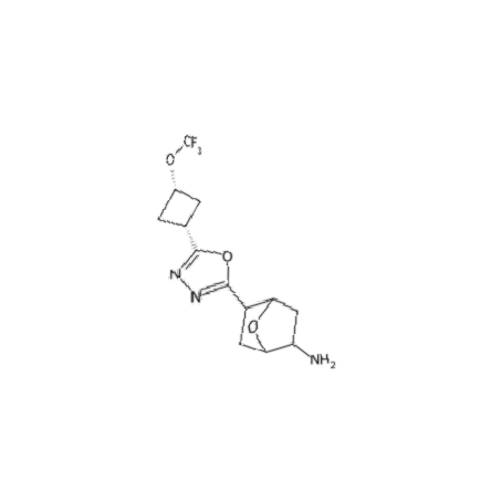 NC1CC2OC1CC2c1nnc([C@H]2C[C@@H](OC(F)(F)F)C2)o1